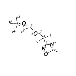 Cc1nc(C(C)(C)COCCOC(C)(C)C)no1